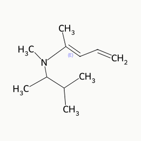 C=C/C=C(\C)N(C)C(C)C(C)C